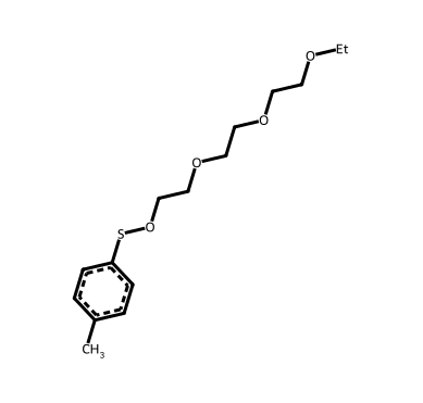 CCOCCOCCOCCOSc1ccc(C)cc1